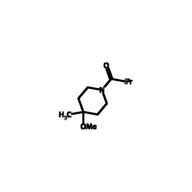 COC1(C)CCN(C(=O)C(C)C)CC1